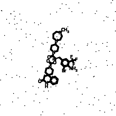 CN1CCCN(C2CCN(C(=O)[C@@H](Cc3cc(Br)c(N)c(C(F)(F)F)c3)OC(=O)N3CCC4(CC3)CC(=O)Nc3ccccc34)CC2)CC1